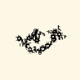 CC(C)C[C@H](NC(=O)[C@H](Cc1ccccc1)N1C(=O)[C@@H](NC(=O)[C@H](CCc2ccccc2)NC(=O)CN2CCC(OC(=O)CCC(=O)N3CCC(N4CCC(CCn5ccc6cc(-n7c(O)nnc7-c7cc(C(C)C)c(O)cc7O)ccc65)CC4)CC3)CC2)CC1C)C(=O)[C@@]1(C)CO1